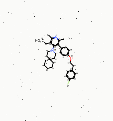 Cc1nc(C)c(-c2ccc(OCCc3ccc(F)cc3)cc2)c(N2CCC3(CCCCC3)CC2)c1CC(=O)O